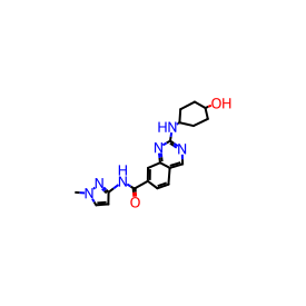 Cn1ccc(NC(=O)c2ccc3cnc(NC4CCC(O)CC4)nc3c2)n1